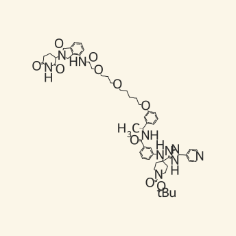 C[C@@H](NC(=O)c1cccc(NC2(c3nnc(-c4ccncc4)[nH]3)CCN(C(=O)OC(C)(C)C)CC2)c1)c1cccc(OCCCCCOCCCOCC(=O)Nc2cccc3c2CN(C2CCC(=O)NC2=O)C3=O)c1